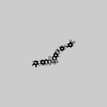 Cc1nccc(Oc2ccc(CC(NC(=O)[C@@H]3Cc4cc5c(cc4CN3S(C)(=O)=O)O[C@@H](c3ccc(OCc4ccc(Cl)c(Cl)c4)cc3)CO5)C(=O)O)cc2)c1C